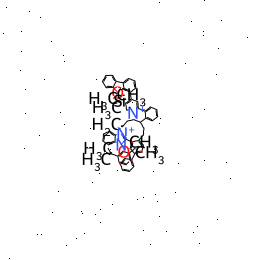 C=C1CC2C(CCc3ccc4c(oc5ccccc54)c3-c3n(-c4c(C(C)C)cccc4C(C)C)c4ccccc4[n+]31)c1ccccc1-c1cc(-c3cccc4c3oc3ccccc34)c([Si](C)(C)C)c[n+]12